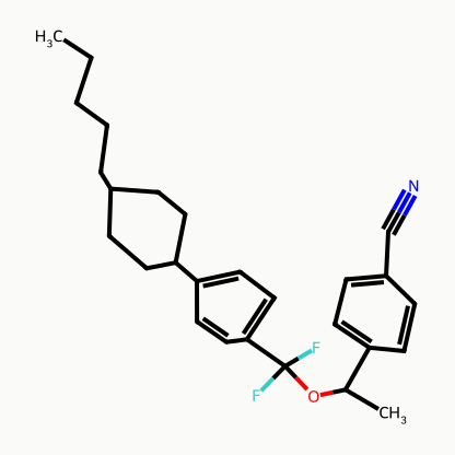 CCCCCC1CCC(c2ccc(C(F)(F)OC(C)c3ccc(C#N)cc3)cc2)CC1